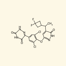 CC(c1cc(Oc2c(Cl)cc(-c3n[nH]c(=O)[nH]c3=O)cc2Cl)n[nH]c1=O)C1CC(F)(F)C1